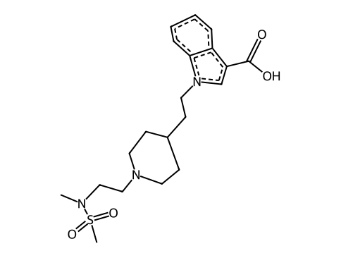 CN(CCN1CCC(CCn2cc(C(=O)O)c3ccccc32)CC1)S(C)(=O)=O